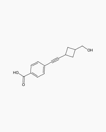 O=C(O)c1ccc(C#CC2CC(CO)C2)cc1